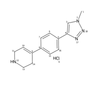 Cl.Cn1cc(-c2ccc(C3=CCNCC3)cc2)nn1